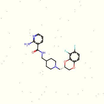 Nc1ncccc1C(=O)NCC1CCN(C[C@H]2COc3ccc(F)c(F)c3O2)CC1